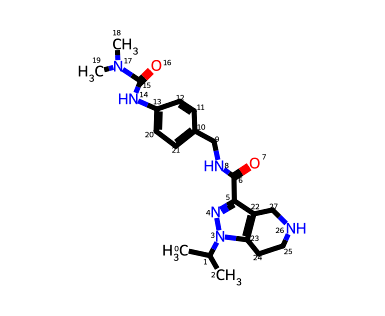 CC(C)n1nc(C(=O)NCc2ccc(NC(=O)N(C)C)cc2)c2c1CCNC2